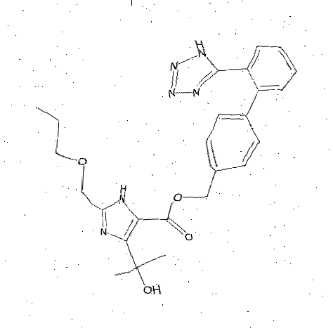 CCCOCc1nc(C(C)(C)O)c(C(=O)OCc2ccc(-c3ccccc3-c3nnn[nH]3)cc2)[nH]1